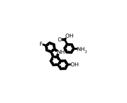 Nc1cccc(C(=O)O)c1.Oc1ccc2ccc3c4cc(F)ccc4[nH]c3c2c1